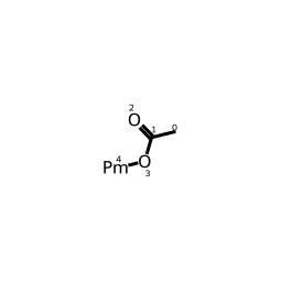 CC(=O)[O][Pm]